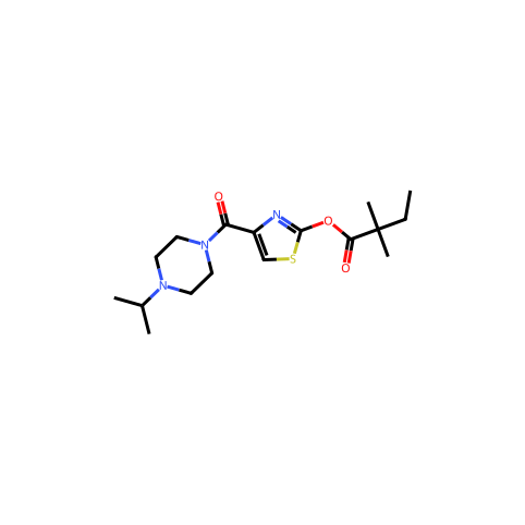 CCC(C)(C)C(=O)Oc1nc(C(=O)N2CCN(C(C)C)CC2)cs1